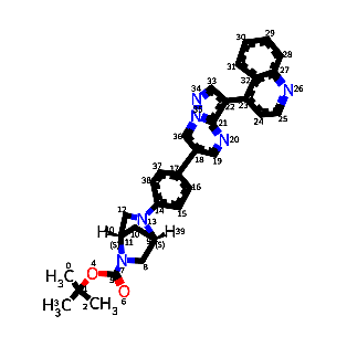 CC(C)(C)OC(=O)N1C[C@@H]2C[C@H]1CN2c1ccc(-c2cnc3c(-c4ccnc5ccccc45)cnn3c2)cc1